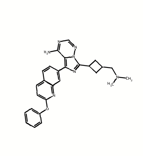 CN(C)CC1CC(c2nc(-c3ccc4ccc(Oc5ccccc5)nc4c3)c3c(N)ncnn23)C1